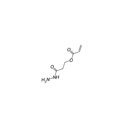 C=CC(=O)OCCC(=O)NN